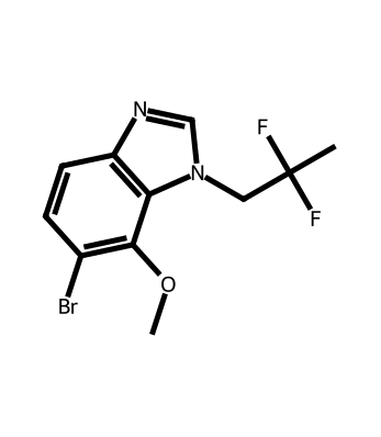 COc1c(Br)ccc2ncn(CC(C)(F)F)c12